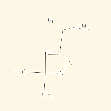 CC(Br)C1=CC(C)(C)N=N1